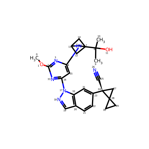 COc1nc(N2CC3(C(C)(C)O)CC2C3)cc(-n2ncc3ccc([C@]4(C#N)CC45CC5)cc32)n1